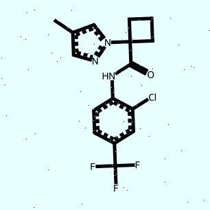 Cc1cnn(C2(C(=O)Nc3ccc(C(F)(F)F)cc3Cl)CCC2)c1